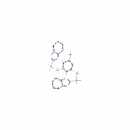 CC(C)(C)c1nc2ccccc2n1-c1c(C(F)(F)F)cc(C(F)(F)F)c(-n2c(C(C)(C)C)nc3ccccc32)c1C(F)(F)F